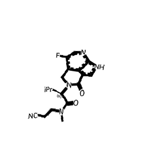 CC(C)[C@H](C(=O)N(C)CCC#N)N1Cc2c(F)cnc3[nH]cc(c23)C1=O